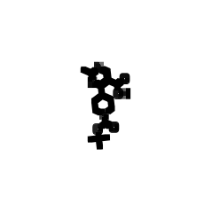 Cc1ncc(C(=O)O)c(C2CCN(C(=O)OC(C)(C)C)CC2)n1